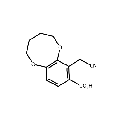 N#CCc1c(C(=O)O)ccc2c1OCCCCO2